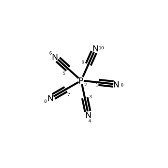 N#CP(C#N)(C#N)(C#N)C#N